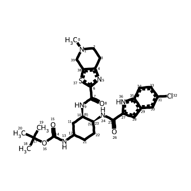 CN1CCc2nc(C(=O)N[C@@H]3CC(NC(=O)OC(C)(C)C)CC[C@@H]3NC(=O)c3cc4cc(Cl)ccc4[nH]3)sc2C1